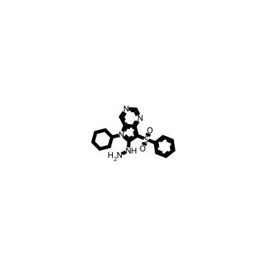 NNc1c(S(=O)(=O)c2ccccc2)c2ncncc2n1C1CCCCC1